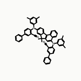 Cc1cc(C)cc(N(c2ccc3c(c2)C(C)(C)c2cc(N(c4cc(C)cc(C)c4)c4ccc(-c5ccccc5)cc4C#N)c4ccccc4c2-3)c2ccc(-c3ccccc3)cc2C#N)c1